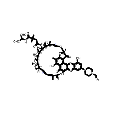 C/C1=C/C=C/[C@H](C)[C@H](O)[C@@H](C)[C@@H](O)[C@@H](C)[C@H](OC(=O)CC(C)(C)C(=O)NC(C=O)C=O)[C@H](C)[C@@H](C)/C=C/O[C@@]2(C)Oc3c(C)c(O)c4c(=O)c(c5oc6cc(N7CCN(CC(C)C)CC7)cc(O)c6nc-5c4c3C2=O)NC1=O